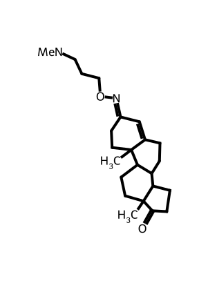 CNCCCO/N=C1/C=C2CCC3C4CCC(=O)C4(C)CCC3C2(C)CC1